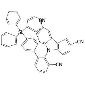 N#Cc1ccc2c(c1)c1cc(C#N)ccc1n2-c1c(C#N)cccc1-c1ccc([Si](c2ccccc2)(c2ccccc2)c2ccccc2)cc1